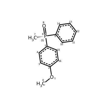 COc1ccc([P@@](C)(=O)c2ccccc2)cc1